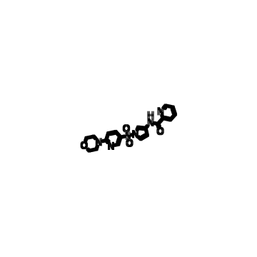 O=C(Nc1ccn(S(=O)(=O)c2ccc(N3CCOCC3)nc2)c1)c1ccccn1